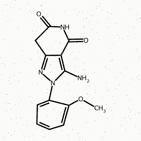 COc1ccccc1-n1nc2c(c1N)C(=O)NC(=O)C2